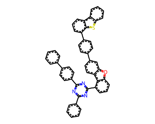 c1ccc(-c2ccc(-c3nc(-c4ccccc4)nc(-c4cccc5oc6cc(-c7ccc(-c8cccc9c8sc8ccccc89)cc7)ccc6c45)n3)cc2)cc1